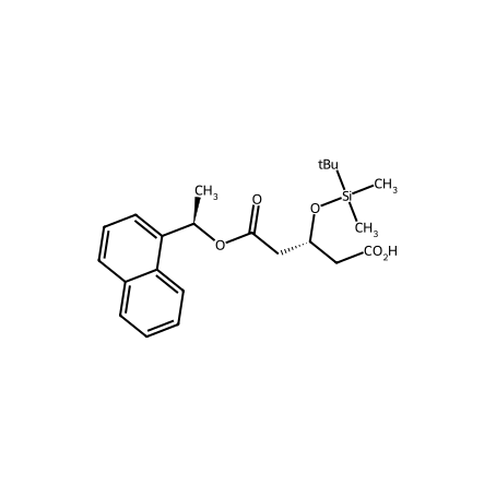 C[C@@H](OC(=O)C[C@@H](CC(=O)O)O[Si](C)(C)C(C)(C)C)c1cccc2ccccc12